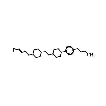 CCCCc1ccc([C@H]2CC[C@H](CC[C@H]3CC[C@H](CC/C=C/F)CC3)CC2)cc1